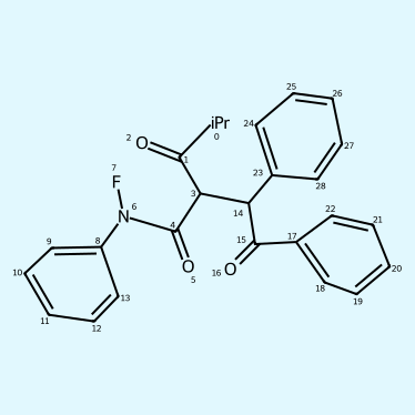 CC(C)C(=O)C(C(=O)N(F)c1ccccc1)C(C(=O)c1ccccc1)c1ccccc1